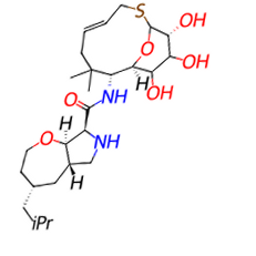 CC(C)C[C@@H]1CCO[C@@H]2[C@H](CN[C@@H]2C(=O)N[C@H]2[C@H]3OC(SC/C=C/CC2(C)C)[C@H](O)C(O)C3O)C1